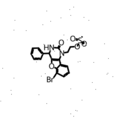 CS(=O)(=O)OCCN1C(=O)NC(c2ccccc2)c2oc3c(Br)cccc3c21